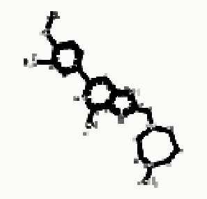 CCOc1ccc(-c2cc3[nH]c(CN4CCCN(C)CC4)nc3c(C#N)n2)cc1C(F)(F)F